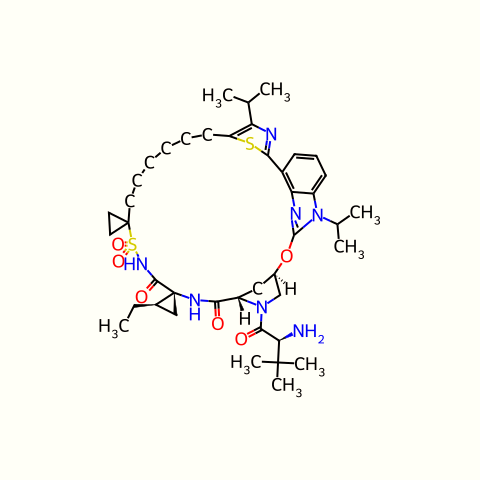 CC[C@@H]1C[C@@]12NC(=O)[C@@H]1C[C@H](CN1C(=O)[C@@H](N)C(C)(C)C)Oc1nc3c(cccc3n1C(C)C)-c1nc(C(C)C)c(s1)CCCCCCC1(CC1)S(=O)(=O)NC2=O